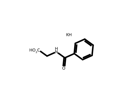 O=C(O)CNC(=O)c1ccccc1.[KH]